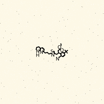 CCOC(=O)CC(Cc1csc(CCCc2ccc3c(n2)NCCC3)n1)c1cc(C(C)(C)C)ccc1C#N